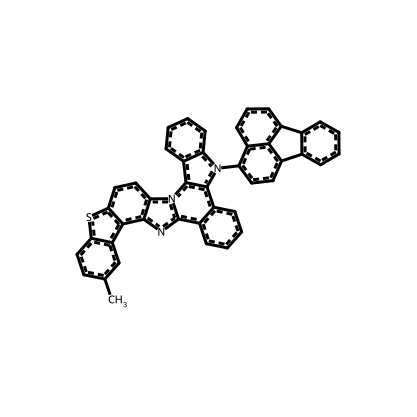 Cc1ccc2sc3ccc4c(nc5c6ccccc6c6c(c7ccccc7n6-c6ccc7c8c(cccc68)-c6ccccc6-7)n45)c3c2c1